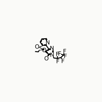 CCS(=O)(=O)c1cccnc1-c1cc(=O)n(CC(F)(F)C(F)C(F)(F)F)cn1